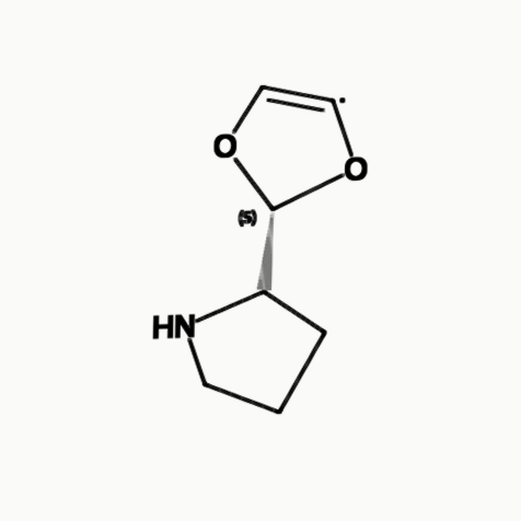 [C]1=CO[C@@H](C2CCCN2)O1